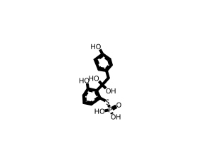 O=P(O)(O)Sc1cccc(O)c1C(O)(O)Cc1ccc(O)cc1